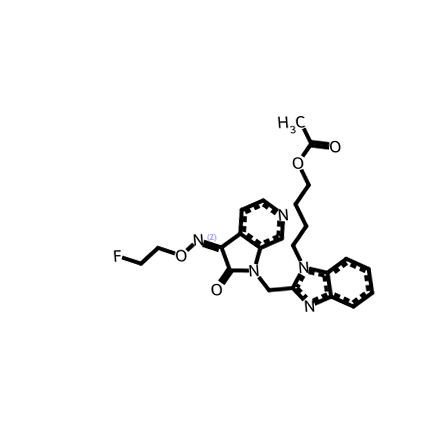 CC(=O)OCCCCn1c(CN2C(=O)/C(=N\OCCF)c3ccncc32)nc2ccccc21